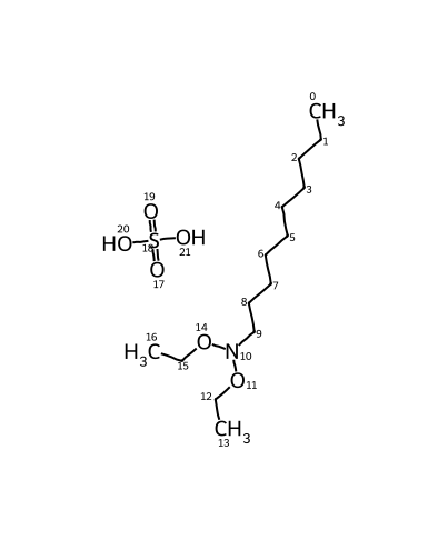 CCCCCCCCCCN(OCC)OCC.O=S(=O)(O)O